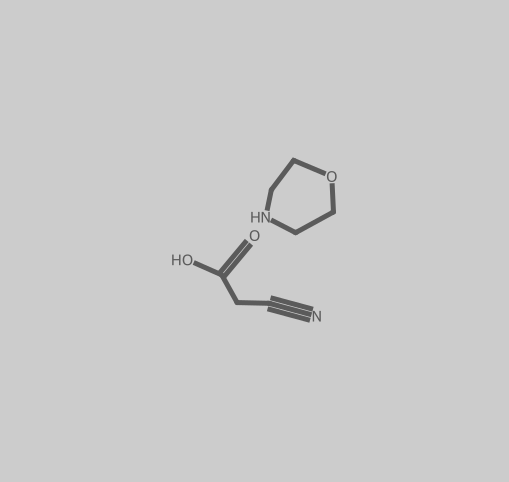 C1COCCN1.N#CCC(=O)O